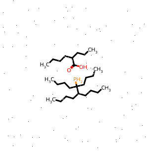 CCCCC(CCC)C(=O)O.CCCCC(CCCC)C(P)(CCCC)CCCC